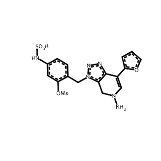 COc1cc(NS(=O)(=O)O)ccc1Cn1nnc2c1CN(N)C=C2c1ccco1